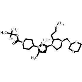 COCC[C@@]1(C)CN(C[C@@H]2COCCO2)CCN1c1cc(C)n(C2CCN(C(=O)OC(C)(C)C)CC2)n1